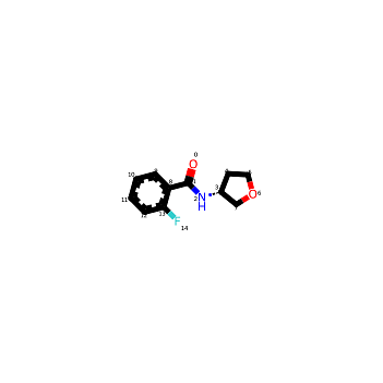 O=C(N[C@@H]1CCOC1)c1cc[c]cc1F